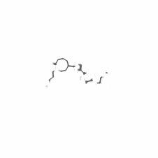 C=C(NC(=O)c1csc(C2CCCC(=O)N(CCCOC)CC2)n1)C(=O)NC(=C)C(=O)OC